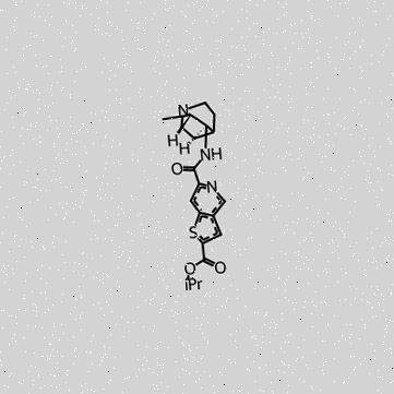 CC(C)OC(=O)c1cc2cnc(C(=O)N[C@@H]3C4CCN(CC4)[C@H]3C)cc2s1